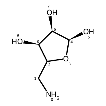 NCC1O[C@H](O)[C@H](O)[C@@H]1O